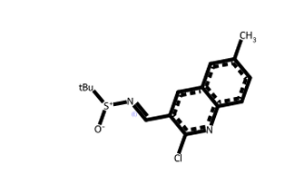 Cc1ccc2nc(Cl)c(/C=N/[S+]([O-])C(C)(C)C)cc2c1